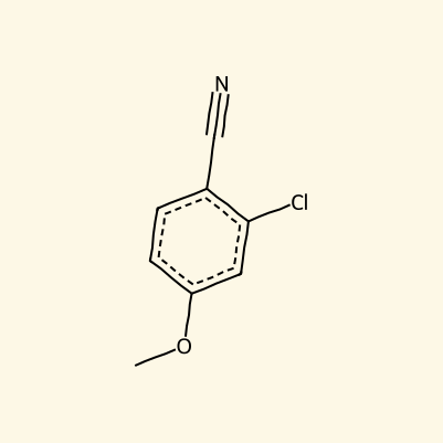 COc1ccc(C#N)c(Cl)c1